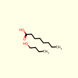 CCCCCCCC(=O)O.CCCCO